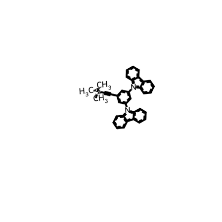 C[Si](C)(C)C#Cc1cc(-n2c3ccccc3c3ccccc32)cc(-n2c3ccccc3c3ccccc32)c1